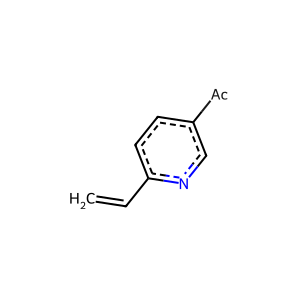 C=Cc1ccc(C(C)=O)cn1